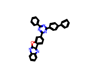 c1ccc(-c2ccc(-c3nc(-c4ccccc4)nc(-c4ccc5c(c4)oc4nc6ccccc6nc45)n3)cc2)cc1